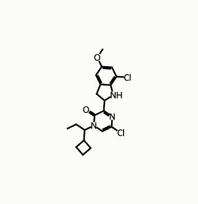 CCC(C1CCC1)n1cc(Cl)nc(C2Cc3cc(OC)cc(Cl)c3N2)c1=O